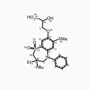 CCCC[C@]1(CC)CN(c2ccccc2)c2cc(SC)c(OCC(O)C(=O)O)cc2S(=O)(=O)C1